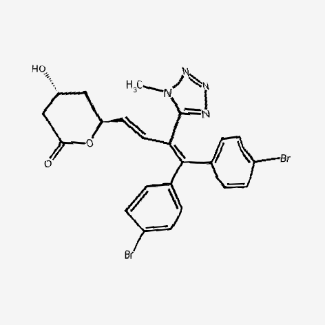 Cn1nnnc1C(C=C[C@@H]1C[C@@H](O)CC(=O)O1)=C(c1ccc(Br)cc1)c1ccc(Br)cc1